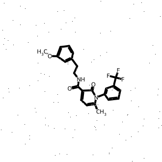 COc1cccc(CCNC(=O)c2ccc(C)n(-c3cccc(C(F)(F)F)c3)c2=O)c1